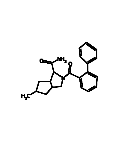 CC1CC2CN(C(=O)c3ccccc3-c3ccccc3)C(C(N)=O)C2C1